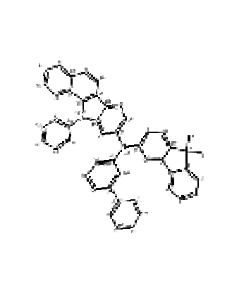 CC1(C)c2ccccc2-c2cc(N(c3cccc(-c4ccccc4)c3)c3ccc4c5ccc6ccccc6c5n(-c5ccccc5)c4c3)ccc21